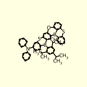 CC(C)c1cc(C(C)C)c(B2c3ccc(N(c4ccccc4)c4ccccc4)cc3Sc3cc4c(cc32)B2c3ccccc3Sc3cccc(c32)O4)c(C(C)C)c1